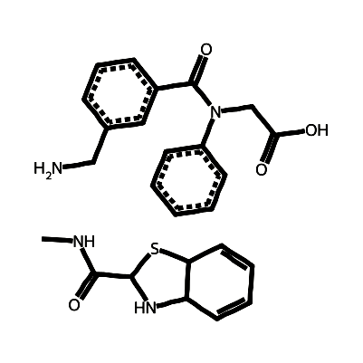 CNC(=O)C1NC2C=CC=CC2S1.NCc1cccc(C(=O)N(CC(=O)O)c2ccccc2)c1